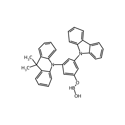 CC1(C)c2ccccc2N(c2cc(OBO)cc(-n3c4ccccc4c4ccccc43)c2)c2ccccc21